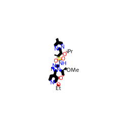 CCOc1nccc2c1OC[C@H](COC)n1c(NS(=O)(=O)[C@@H](C)[C@@H](OC(C)C)c3ncc(C)cn3)nnc1-2